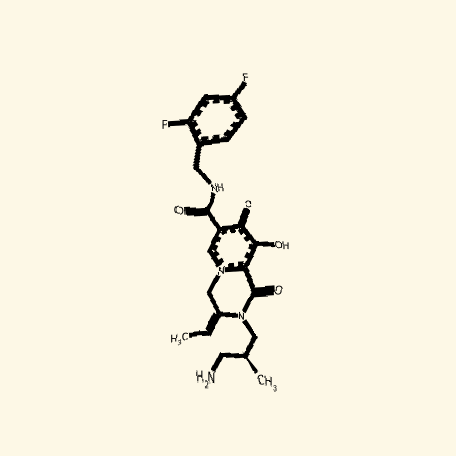 C/C=C1\Cn2cc(C(=O)NCc3ccc(F)cc3F)c(=O)c(O)c2C(=O)N1C[C@@H](C)CN